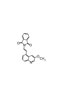 COc1cnc2cccc(/C=C/N3C(=O)c4ccccc4C3=O)c2c1